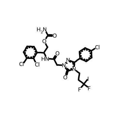 NC(=O)OCC(NC(=O)Cn1nc(-c2ccc(Cl)cc2)n(CCC(F)(F)I)c1=O)c1cccc(Cl)c1Cl